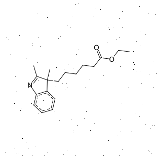 CCOC(=O)CCCCCC1(C)C(C)=Nc2ccccc21